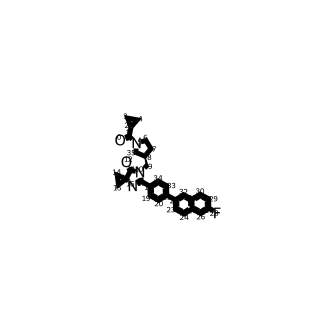 O=C(C1CC1)N1CC[C@@H](CN2C(=O)C3(CC3)N=C2c2ccc(-c3ccc4cc(F)ccc4c3)cc2)C1